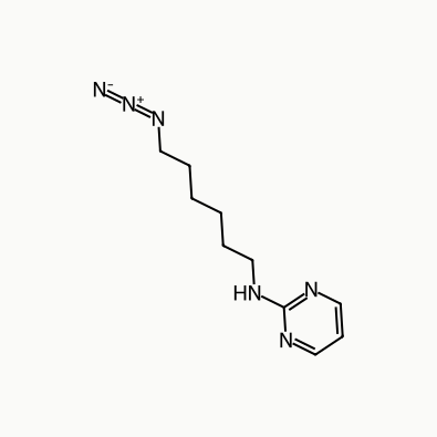 [N-]=[N+]=NCCCCCCNc1ncccn1